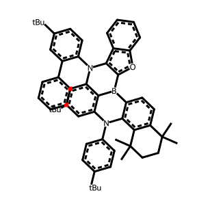 CC(C)(C)c1ccc(N2c3cc(C(C)(C)C)cc4c3B(c3ccc5c(c32)C(C)(C)CCC5(C)C)c2oc3ccccc3c2N4c2ccc(C(C)(C)C)cc2-c2ccccc2)cc1